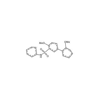 COc1ccccc1-c1ccc(OC)c(S(=O)(=O)Nc2[c]cccc2)c1